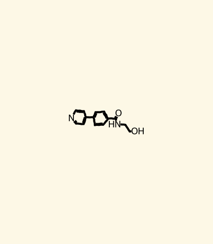 O=C(NCCO)c1ccc(-c2ccncc2)cc1